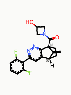 C=C1[C@@H]2CC[C@@]1(C(=O)N1CC(O)C1)c1nnc(-c3c(F)cccc3F)cc12